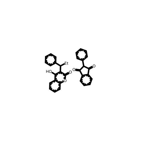 CCC(c1ccccc1)c1c(O)c2ccccc2oc1=O.O=C1c2ccccc2C(=O)C1c1ccccc1